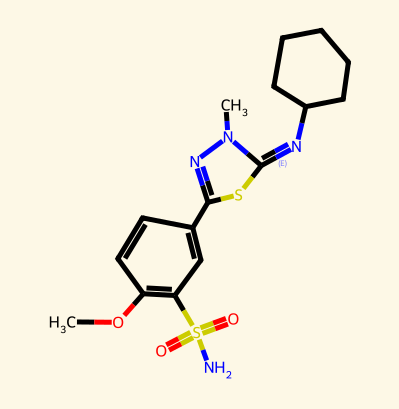 COc1ccc(-c2nn(C)/c(=N\C3CCCCC3)s2)cc1S(N)(=O)=O